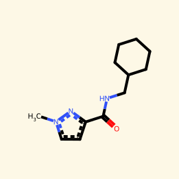 Cn1ccc(C(=O)NCC2CCCCC2)n1